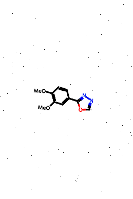 COc1ccc(-c2nn[c]o2)cc1OC